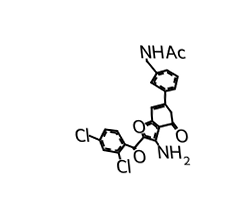 CC(=O)NCc1cccc(C2=Cc3oc(C(=O)c4ccc(Cl)cc4Cl)c(N)c3C(=O)C2)c1